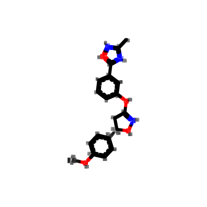 Cc1noc(-c2cccc(OC3=NO[C@H](c4ccc(OC(F)(F)F)cc4)C3)c2)n1